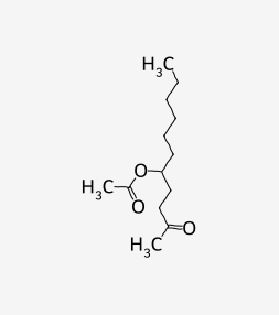 CCCCCCC(CCC(C)=O)OC(C)=O